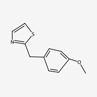 COc1ccc(Cc2nccs2)cc1